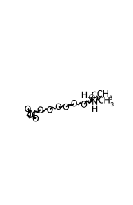 CC(C)C(C)NC(=O)CCOCCOCCOCCOCCOCCOCCN1C(=O)C=CC1=O